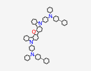 c1ccc(-c2ccc(N(c3ccccc3)c3ccc(-n4c5ccccc5c5c6oc7c(ccc8c7c7ccccc7n8-c7ccc(N(c8ccccc8)c8ccc(-c9ccccc9)cc8)cc7)c6ccc54)cc3)cc2)cc1